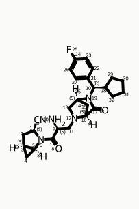 N#C[C@@H]1C[C@@H]2C[C@@H]2N1C(=O)[C@@H](N)CN1C[C@@H]2C[C@H]1C(=O)N2[C@@H](c1ccc(F)cc1)C1CCCC1